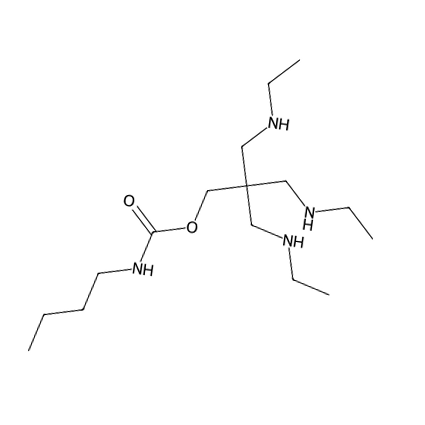 CCCCNC(=O)OCC(CNCC)(CNCC)CNCC